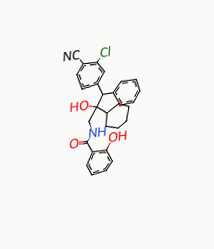 N#Cc1ccc(C(c2ccccc2)C(O)(CNC(=O)c2ccccc2O)C2CCCCC2)cc1Cl